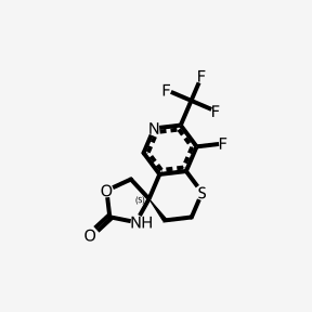 O=C1N[C@]2(CCSc3c2cnc(C(F)(F)F)c3F)CO1